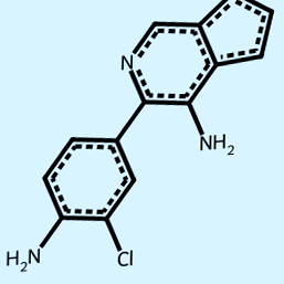 Nc1ccc(-c2ncc3sccc3c2N)cc1Cl